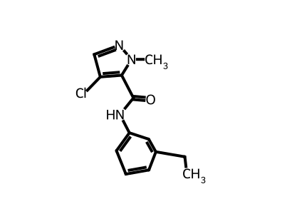 CCc1cccc(NC(=O)c2c(Cl)cnn2C)c1